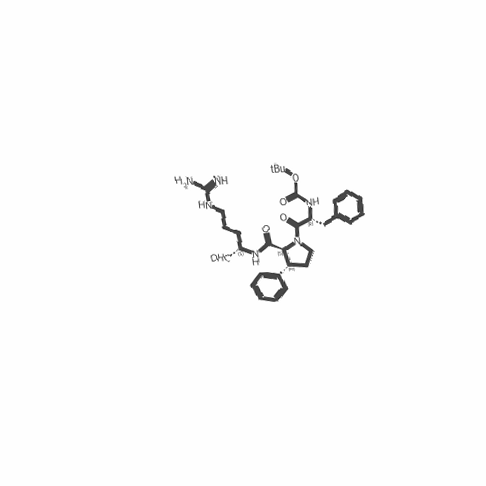 CC(C)(C)OC(=O)N[C@H](Cc1ccccc1)C(=O)N1CC[C@H](c2ccccc2)[C@H]1C(=O)N[C@H](C=O)CCCNC(=N)N